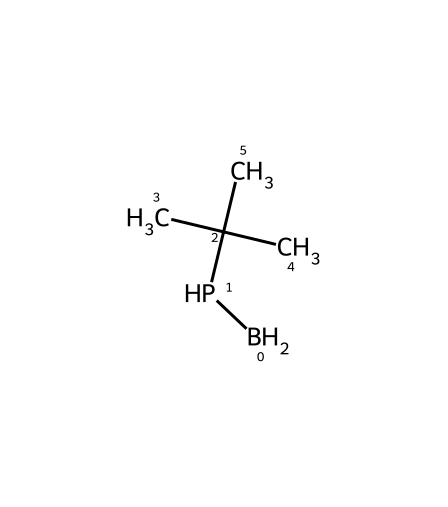 BPC(C)(C)C